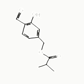 CC(C)C(=O)OCc1ccc(C=O)c(O)c1